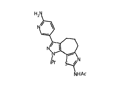 CC(=O)Nc1nc2c(s1)-c1c(c(-c3ccc(N)nc3)nn1C(C)C)CCC2